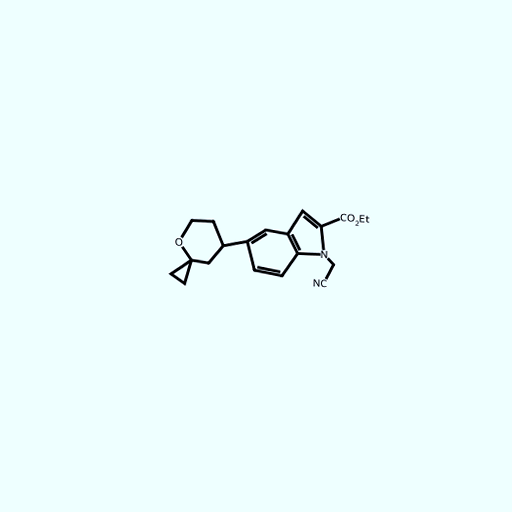 CCOC(=O)c1cc2cc(C3CCOC4(CC4)C3)ccc2n1CC#N